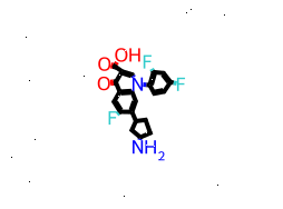 NC1CCC(c2cc3c(cc2F)c(=O)c(C(=O)O)cn3-c2ccc(F)cc2F)C1